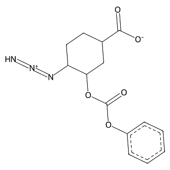 N=[N+]=NC1CCC(C(=O)[O-])CC1OC(=O)Oc1ccccc1